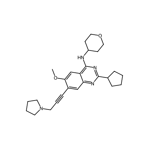 COc1cc2c(NC3CCOCC3)nc(C3CCCC3)nc2cc1C#CCN1CCCC1